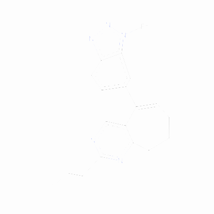 CCn1nnc2ccc(C3=CCCCc4nc(CCC(F)(F)F)ncc43)cc21